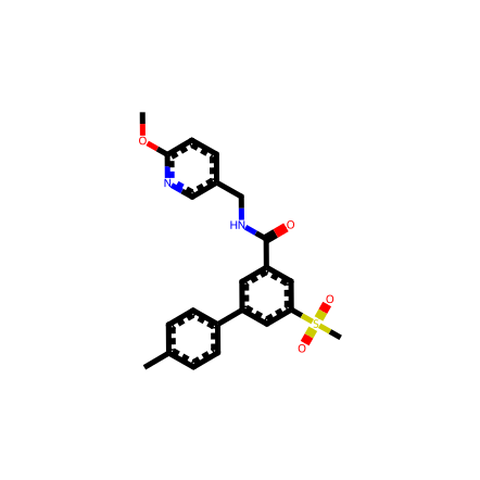 COc1ccc(CNC(=O)c2cc(-c3ccc(C)cc3)cc(S(C)(=O)=O)c2)cn1